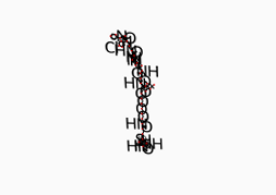 CC1(C)CC(=O)C(=C(CCOCCOCCOCCOCCNC(=O)CCCC[C@@H]2SC[C@@H]3NC(=O)N[C@@H]32)NCCCC(=O)NC2=CC=C(n3nnc(C(=O)NCCCN4C(=O)CN=C(c5ccccc5)c5cc(Cl)ccc54)n3)CC2)C(=O)C1